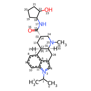 CC(C)n1cc2c3c(cccc31)[C@H]1C[C@H](C(=O)NC3CCCC3O)CN(C)[C@H]1C2